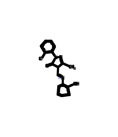 CC1=NN(c2ccccc2Cl)C(=O)C1/C=N/c1ccccc1O